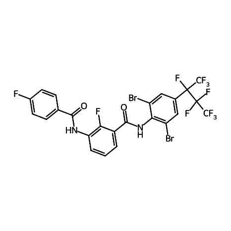 O=C(Nc1cccc(C(=O)Nc2c(Br)cc(C(F)(C(F)(F)F)C(F)(F)C(F)(F)F)cc2Br)c1F)c1ccc(F)cc1